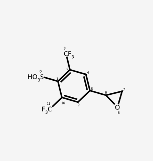 O=S(=O)(O)c1c(C(F)(F)F)cc(C2CO2)cc1C(F)(F)F